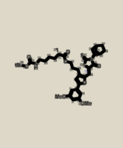 COc1cc(OC)cc(-c2cc(CCCOC(=O)[C@@H](C)CCCCNC(=O)OC(C)(C)C)c(/C=C3\SC(=S)N(C4CC5CCC4C5)C3=O)o2)c1